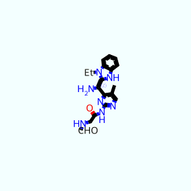 CCN1/C(=C(\N)c2nc(NC(=O)CNC=O)ncc2C)Nc2ccccc21